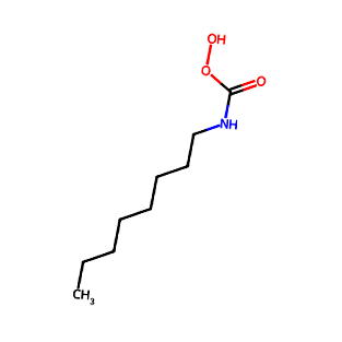 CCCCCCCCNC(=O)OO